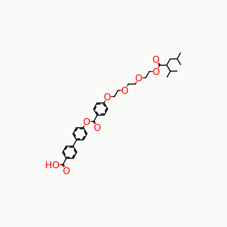 CC(C)CC(C(=O)OCCOCCOCCOc1ccc(C(=O)Oc2ccc(-c3ccc(C(=O)O)cc3)cc2)cc1)C(C)C